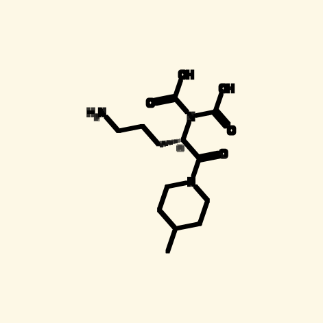 CC1CCN(C(=O)[C@H](CCCN)N(C(=O)O)C(=O)O)CC1